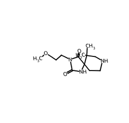 COCCN1C(=O)NC2(CCNCC2(C)C)C1=O